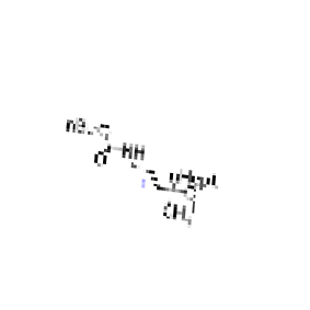 CCCCCCCC(C)(O)/C=C/CNC(=O)OCCCC